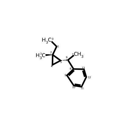 CC[C@@]1(C)C[C@H]1C(C)c1ccccc1